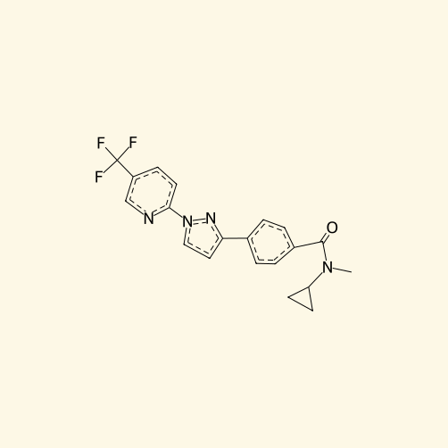 CN(C(=O)c1ccc(-c2ccn(-c3ccc(C(F)(F)F)cn3)n2)cc1)C1CC1